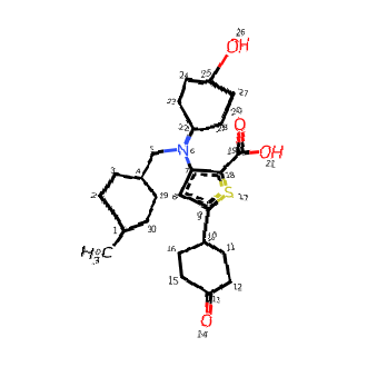 CC1CCC(CN(c2cc(C3CCC(=O)CC3)sc2C(=O)O)C2CCC(O)CC2)CC1